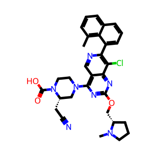 Cc1cccc2cccc(-c3ncc4c(N5CCN(C(=O)O)[C@@H](CC#N)C5)nc(OC[C@@H]5CCCN5C)nc4c3Cl)c12